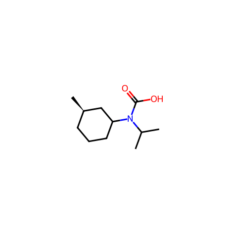 CC(C)N(C(=O)O)C1CCC[C@@H](C)C1